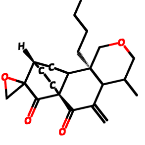 C=C1C(=O)[C@@]23CC[C@@H](CC2[C@@]2(CCCC)COCC(C)C12)C1(CO1)C3=O